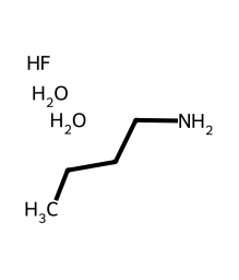 CCCCN.F.O.O